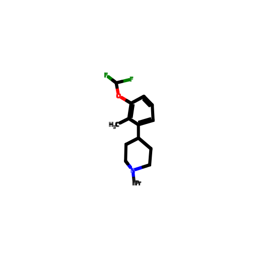 CCCN1CCC(c2cccc(OC(F)F)c2C)CC1